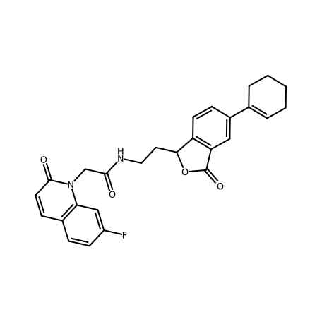 O=C(Cn1c(=O)ccc2ccc(F)cc21)NCCC1OC(=O)c2cc(C3=CCCCC3)ccc21